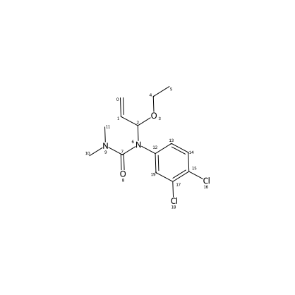 C=CC(OCC)N(C(=O)N(C)C)c1ccc(Cl)c(Cl)c1